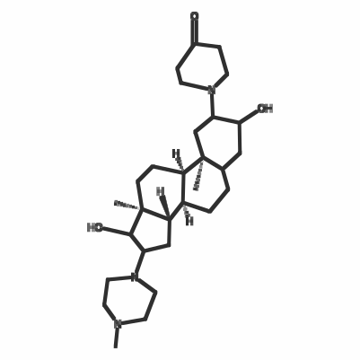 CN1CCN(C2C[C@H]3[C@@H]4CCC5CC(O)C(N6CCC(=O)CC6)C[C@]5(C)[C@@H]4CC[C@]3(C)C2O)CC1